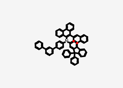 c1ccc(-c2cccc(-c3ccc(N(c4ccc5c(c4)C(c4ccccc4)(c4ccccc4)c4ccccc4-5)c4c(-c5ccc6ccccc6c5)c5ccccc5c5ccccc45)cc3)c2)cc1